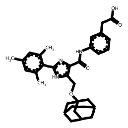 Cc1cc(C)c(-c2nc(C(=O)Nc3cccc(CC(=O)O)c3)c(COC34CC5CC(CC(C5)C3)C4)[nH]2)c(C)c1